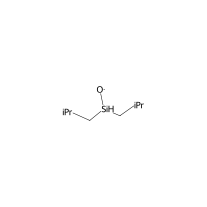 CC(C)C[SiH]([O])CC(C)C